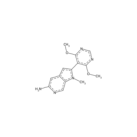 COc1ncnc(OC)c1-c1cc2cc(N)ncc2n1C